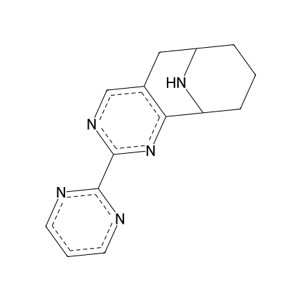 c1cnc(-c2ncc3c(n2)C2CCCC(C3)N2)nc1